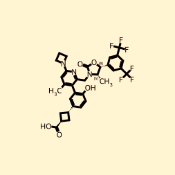 Cc1cc(N2CCC2)nc(CN2C(=O)O[C@H](c3cc(C(F)(F)F)cc(C(F)(F)F)c3)[C@@H]2C)c1-c1cc([C@H]2C[C@H](C(=O)O)C2)ccc1O